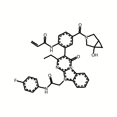 C=CC(=O)Nc1ccc(C(=O)N2CC3CC3(O)C2)cc1-c1c(CC)nc2n(CC(=O)Nc3ccc(F)cc3)c3ccccc3n2c1=O